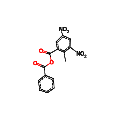 Cc1c(C(=O)OC(=O)c2ccccc2)cc([N+](=O)[O-])cc1[N+](=O)[O-]